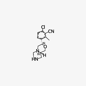 Cc1c([C@H]2CN3CCNC[C@H]3CO2)ccc(Cl)c1C#N